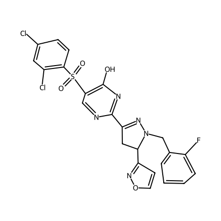 O=S(=O)(c1ccc(Cl)cc1Cl)c1cnc(C2=NN(Cc3ccccc3F)C(c3ccon3)C2)nc1O